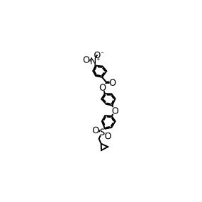 O=C(Oc1ccc(Oc2ccc(S(=O)(=O)CC3CC3)cc2)cc1)c1ccc([N+](=O)[O-])cc1